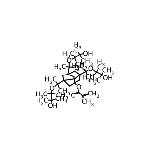 C=C(C)C(=O)OC12CC3(C(C)(C)OC(C)(C)C(C)(C)O)CC(C(C)(C)OC(C)(C)C(C)(C)O)(C1)CC(C(C)(C)OC(C)(C)C(C)(C)O)(C2)C3